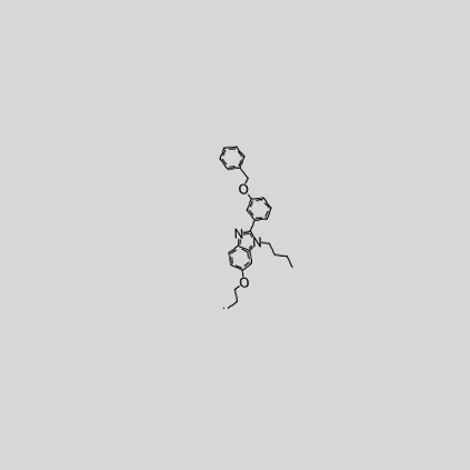 [CH2]CCOc1ccc2nc(-c3cccc(OCc4ccccc4)c3)n(CCCC)c2c1